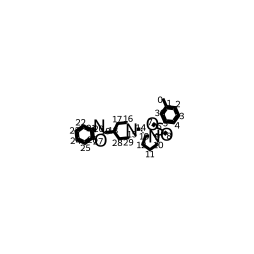 Cc1cccc(S(=O)(=O)N2CCC[C@@H]2CN2CCC(c3nc4ccccc4o3)CC2)c1